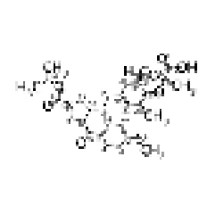 CSc1ccc(C(=O)[C@H]2CN(C(=O)OC(C)C)C[C@@H]2CCc2cc(C)c(OC(C)(C)C(=O)O)c(C)c2)cc1